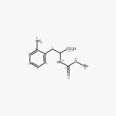 CCOC(=O)C(Cc1ccccc1N)NC(=O)OC(C)(C)C